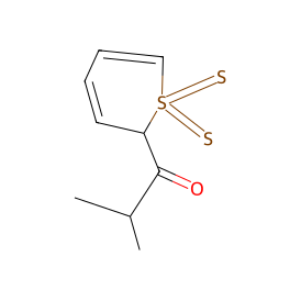 CC(C)C(=O)C1C=CC=CS1(=S)=S